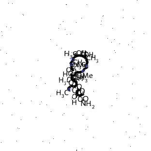 C/C=C/C1OC(O)(C(C)C(O)C(C)C2OC(=O)/C(OC)=C/C(C)=C/C(C)C(O)C(CC)C(O)C(C)C/C(C)=C/C=C/C2OC)CC(OC2CC(O)C(OC(N)=O)=CO2)C1C